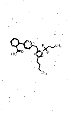 CCCCc1nc(Cc2ccc(-c3ccccc3C(=O)O)cc2)n(C(F)(F)CCC)n1